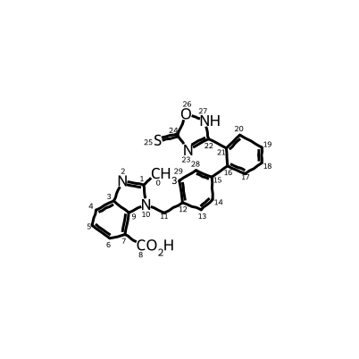 Cc1nc2cccc(C(=O)O)c2n1Cc1ccc(-c2ccccc2-c2nc(=S)o[nH]2)cc1